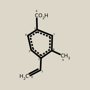 C=Cc1ccc(C(=O)O)cc1C